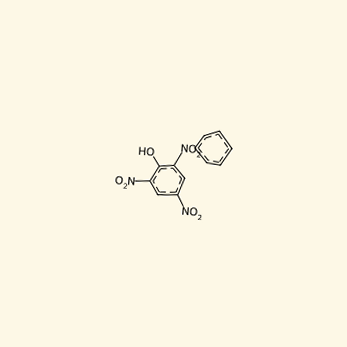 O=[N+]([O-])c1cc([N+](=O)[O-])c(O)c([N+](=O)[O-])c1.c1ccccc1